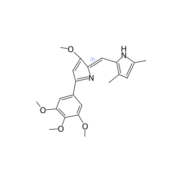 COC1=CC(c2cc(OC)c(OC)c(OC)c2)=N/C1=C\c1[nH]c(C)cc1C